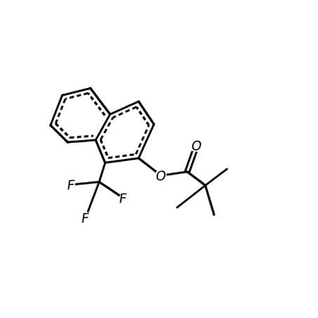 CC(C)(C)C(=O)Oc1ccc2ccccc2c1C(F)(F)F